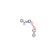 O=C(NCc1[c]c(OCCCOc2ccc(-c3ccccc3)cc2)ccc1)c1ccccc1